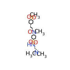 CN(C)CCCNS(=O)(=O)c1ccc(N(C)C(=O)C=Cc2ccc(S(C)(=O)=O)cc2)cc1